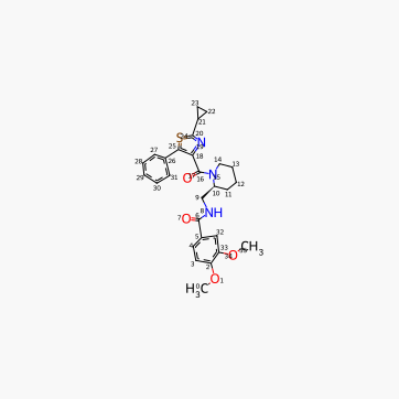 COc1ccc(C(=O)NC[C@@H]2CCCCN2C(=O)c2nc(C3CC3)sc2-c2ccccc2)cc1OC